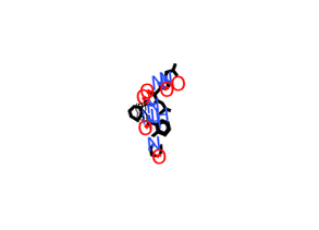 CC(C)CC(NC(=O)[C@@H]1CCCC[C@@H]1NC(=O)c1ccccc1CN1CCOCC1)C(=O)c1nn(CC(C)C)c(=O)o1